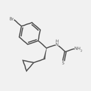 NC(=S)N[C@@H](CC1CC1)c1ccc(Br)cc1